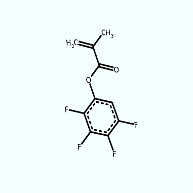 C=C(C)C(=O)Oc1cc(F)c(F)c(F)c1F